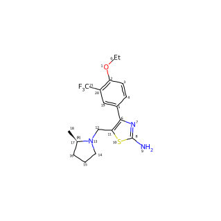 CCOc1ccc(-c2nc(N)sc2CN2CCC[C@H]2C)cc1C(F)(F)F